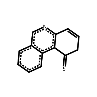 S=C1CC=Cc2ncc3ccccc3c21